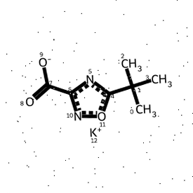 CC(C)(C)c1nc(C(=O)[O-])no1.[K+]